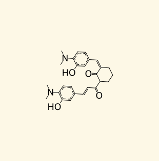 CN(C)c1ccc(/C=C2/CCCC(C(=O)/C=C/c3ccc(N(C)C)c(O)c3)C2=O)cc1O